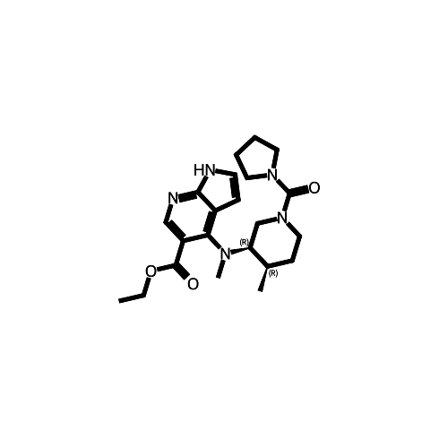 CCOC(=O)c1cnc2[nH]ccc2c1N(C)[C@H]1CN(C(=O)N2CCCC2)CC[C@H]1C